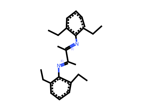 CCc1cccc(CC)c1/N=C(C)/C(C)=N/c1c(CC)cccc1CC